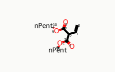 C=CC(C(=O)OCCCCC)C(=O)OCCCCC